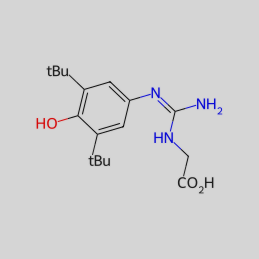 CC(C)(C)c1cc(N=C(N)NCC(=O)O)cc(C(C)(C)C)c1O